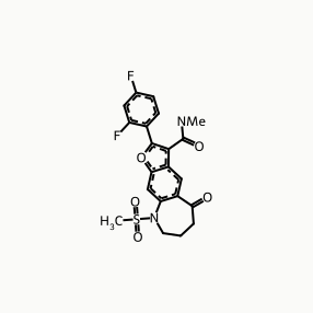 CNC(=O)c1c(-c2ccc(F)cc2F)oc2cc3c(cc12)C(=O)CCCN3S(C)(=O)=O